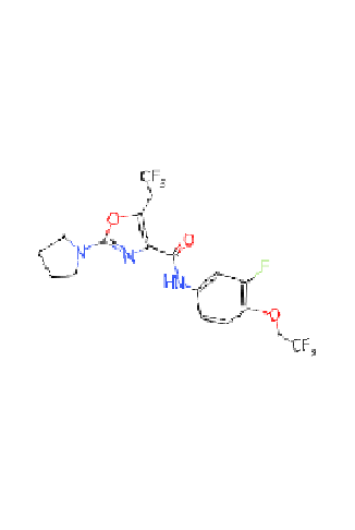 O=C(Nc1ccc(OCC(F)(F)F)c(F)c1)c1nc(N2CCCC2)oc1CC(F)(F)F